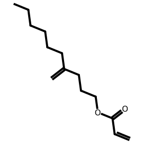 C=CC(=O)OCCCC(=C)CCCCCC